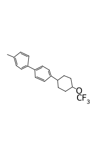 Cc1ccc(-c2ccc(C3CCC(OC(F)(F)F)CC3)cc2)cc1